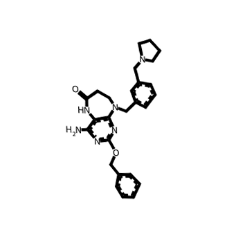 Nc1nc(OCc2ccccc2)nc2c1NC(=O)CCN2Cc1cccc(CN2CCCC2)c1